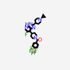 O=C(c1ccc(S(F)(F)(F)(F)F)cc1)N1CCC(c2c(F)cnc3[nH]c(C4CCN(C5CC5)CC4)nc23)CC1